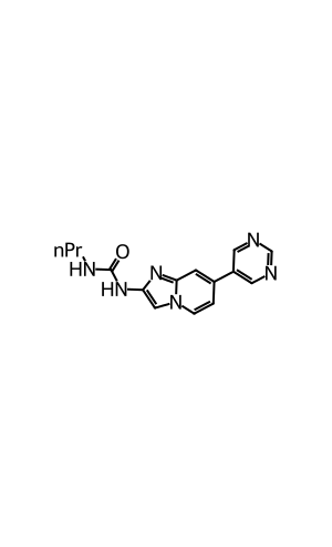 CCCNC(=O)Nc1cn2ccc(-c3cncnc3)cc2n1